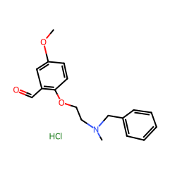 COc1ccc(OCCN(C)Cc2ccccc2)c(C=O)c1.Cl